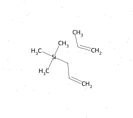 C=CC.C=CC[Si](C)(C)C